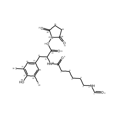 O=CNCCCCCC(=O)NC(Cc1cc(I)c(O)c(I)c1)C(=O)ON1C(=O)CCC1=O